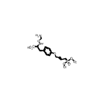 CCOP(=O)(C/C=C/COc1ccc(CC(BOCN)C(=O)O)cc1)OCC